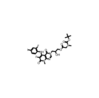 CN(CC(=O)OCC(O)Cn1cnc2c(c(Nc3ccc(I)cc3F)c(F)c(=O)n2C)c1=O)C(=O)OC(C)(C)C